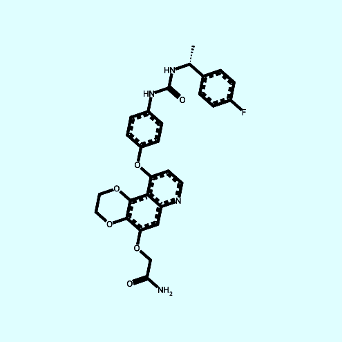 C[C@@H](NC(=O)Nc1ccc(Oc2ccnc3cc(OCC(N)=O)c4c(c23)OCCO4)cc1)c1ccc(F)cc1